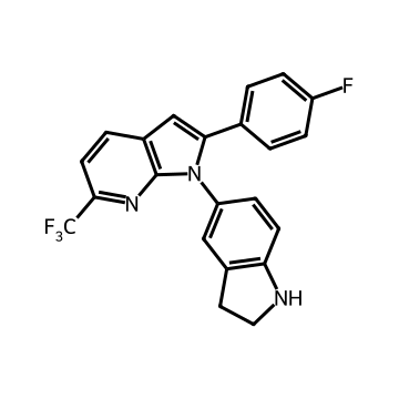 Fc1ccc(-c2cc3ccc(C(F)(F)F)nc3n2-c2ccc3c(c2)CCN3)cc1